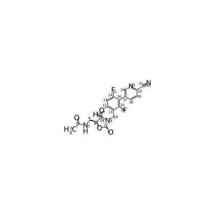 CC(=O)NC[C@@H]1OC(=O)N2Cc3c(cc(F)c(-c4ccc(C#N)nc4)c3F)O[C@@H]12